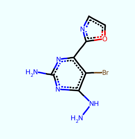 NNc1nc(N)nc(-c2ncco2)c1Br